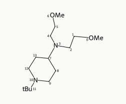 COCCN(CCOC)C1CCN(C(C)(C)C)CC1